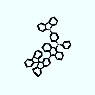 c1ccc(N(c2ccc(-n3c4ccccc4c4ccccc43)cc2)c2c3ccccc3c(-c3ccc4c(c3)C3(c5ccccc5-c5ccccc53)c3ccccc3-4)c3ccccc23)cc1